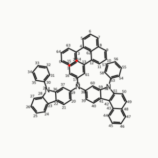 c1ccc(-c2cccc3cccc(-c4cccc(N(c5ccc6c7ccccc7n(-c7ccccc7)c6c5)c5ccc6c7c8ccccc8ccc7n(-c7ccccc7)c6c5)c4)c23)cc1